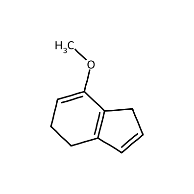 COC1=CCCC2=C1CC=C2